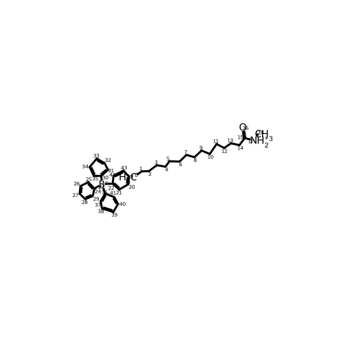 CCCCCCCCCCCCCCCC(=O)[NH2+]C.c1ccc([B-](c2ccccc2)(c2ccccc2)c2ccccc2)cc1